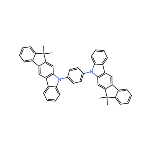 CC1(C)c2ccccc2-c2cc3c4ccccc4n(-c4ccc(-n5c6ccccc6c6cc7c(cc65)C(C)(C)c5ccccc5-7)cc4)c3cc21